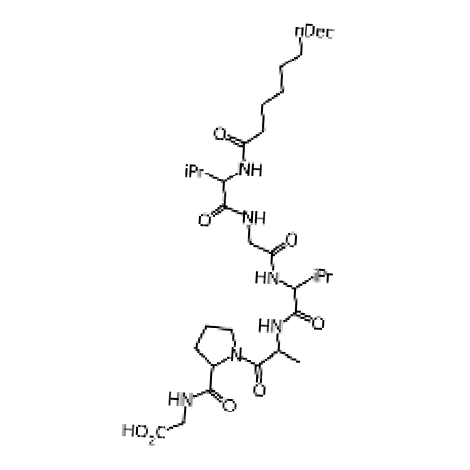 CCCCCCCCCCCCCCCC(=O)NC(C(=O)NCC(=O)NC(C(=O)NC(C)C(=O)N1CCCC1C(=O)NCC(=O)O)C(C)C)C(C)C